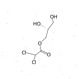 O=C(OC[C@H](O)CO)C(Cl)Cl